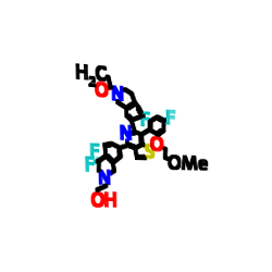 C=CC(=O)N1CCc2ccc(-c3nc(-c4ccc5c(c4)CN(CCO)CC5(F)F)c4ccsc4c3-c3c(F)cc(F)cc3OCCOC)cc2C1